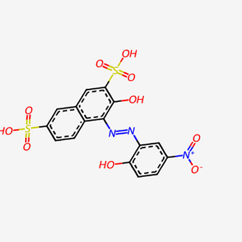 O=[N+]([O-])c1ccc(O)c(N=Nc2c(O)c(S(=O)(=O)O)cc3cc(S(=O)(=O)O)ccc23)c1